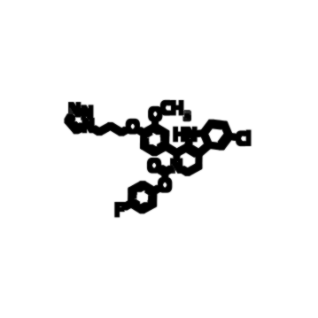 COc1cc(C2C3=C(CCN2C(=O)Oc2ccc(F)cc2)C2C=C(Cl)C=CC2N3)ccc1OCCCn1ccnn1